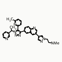 CNCCn1cc(-c2cnc3ccc(-c4nnn(C(C)c5cccnc5)c4-c4cccc(C)n4)cc3c2)cn1